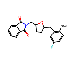 COc1ccc(F)cc1CC1CCC(CN2C(=O)c3ccccc3C2=O)O1